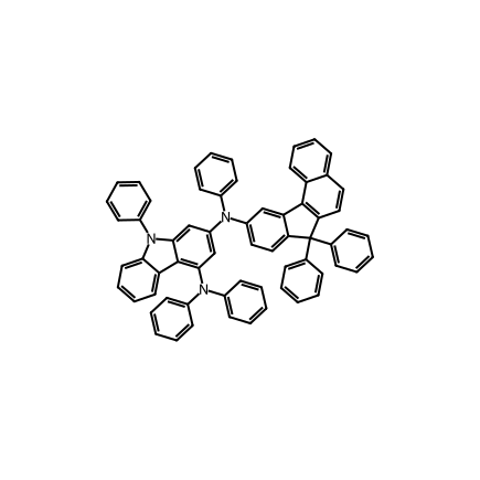 c1ccc(N(c2ccc3c(c2)-c2c(ccc4ccccc24)C3(c2ccccc2)c2ccccc2)c2cc(N(c3ccccc3)c3ccccc3)c3c4ccccc4n(-c4ccccc4)c3c2)cc1